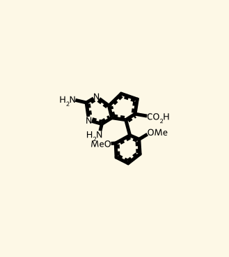 COc1cccc(OC)c1-c1c(C(=O)O)ccc2nc(N)nc(N)c12